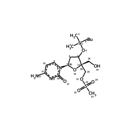 CCC(C)[Si](C)(C)OC1C[C@H](n2ccc(N)nc2=O)O[C@@]1(CO)COS(C)(=O)=O